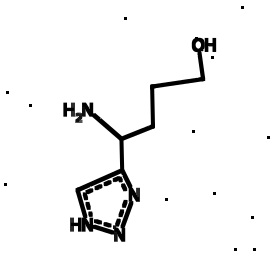 NC(CCCO)c1c[nH]nn1